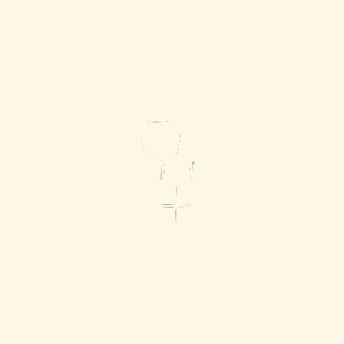 Br.CS(=O)(=O)c1ccc2c(c1O)CCNCC2